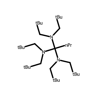 [CH2]CCC(N(CC(C)(C)C)CC(C)(C)C)(N(CC(C)(C)C)CC(C)(C)C)N(CC(C)(C)C)CC(C)(C)C